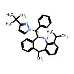 CC(C)c1cccc2c1N[C@H]([C@@H](c1ccccc1)n1ccc(C(C)(C)C)n1)c1ccccc1C2C